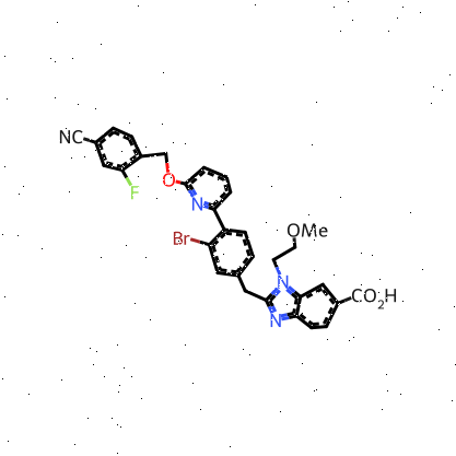 COCCn1c(Cc2ccc(-c3cccc(OCc4ccc(C#N)cc4F)n3)c(Br)c2)nc2ccc(C(=O)O)cc21